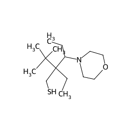 CCC(N1CCOCC1)C(CC)(CS)C(C)(C)C